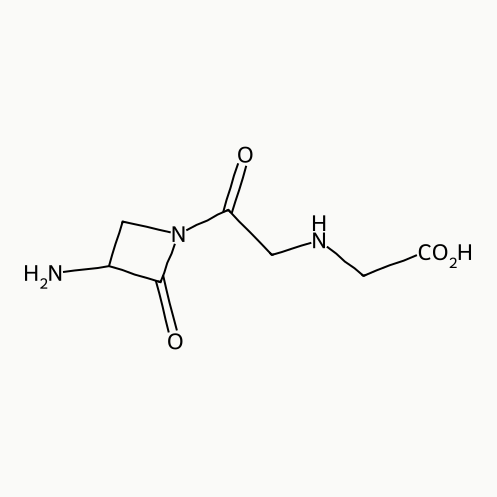 NC1CN(C(=O)CNCC(=O)O)C1=O